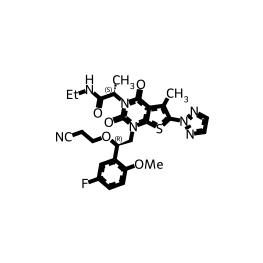 CCNC(=O)[C@H](C)n1c(=O)c2c(C)c(-n3nccn3)sc2n(C[C@H](OCCC#N)c2cc(F)ccc2OC)c1=O